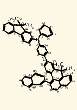 CC1(C)c2ccccc2-c2ccc(N(c3ccccc3)c3ccc(-c4ccc5c(c4)C(C)(C)c4cccc6ccc(-c7ccc8ccccc8c7)c-5c46)cc3)cc21